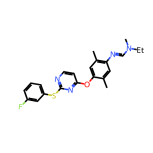 CCN(C)/C=N/c1cc(C)c(Oc2ccnc(Sc3cccc(F)c3)n2)cc1C